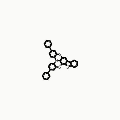 c1ccc(-c2ccc3c(c2)Sc2cc4c(sc5ccccc54)c4c2N3c2ccc(-c3ccccc3)cc2S4)cc1